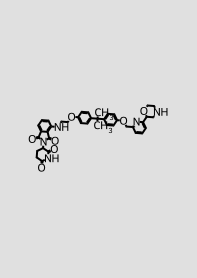 CC(C)(c1ccc(OCCNc2cccc3c2C(=O)N(C2CCC(=O)NC2=O)C3=O)cc1)c1ccc(OCc2cccc(C3CNCCO3)n2)cc1